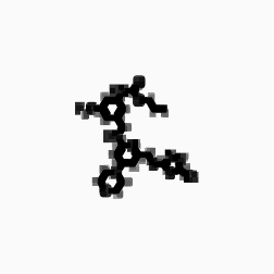 C=CCOC(=O)Nc1cc(CNc2cc(N3CCOCC3)cc(CSc3nnc(CC)s3)n2)cc(C(F)(F)F)c1